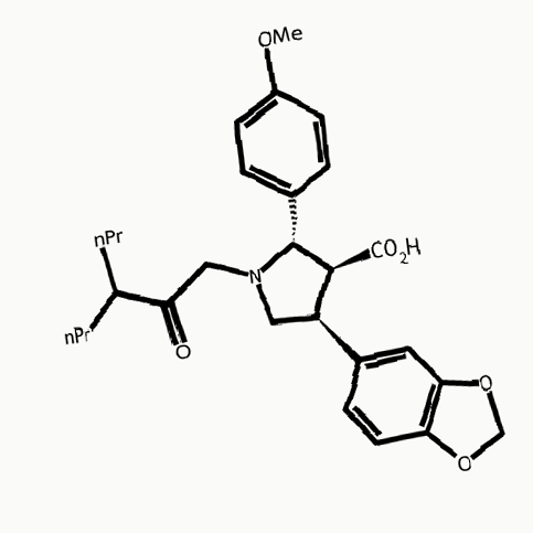 CCCC(CCC)C(=O)CN1C[C@H](c2ccc3c(c2)OCO3)[C@H](C(=O)O)[C@H]1c1ccc(OC)cc1